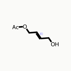 CC(=O)OC/C=C/CO